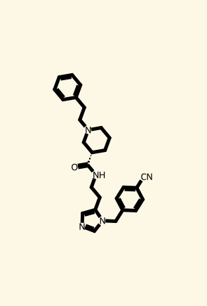 N#Cc1ccc(Cn2cncc2CCNC(=O)[C@H]2CCCN(CCc3ccccc3)C2)cc1